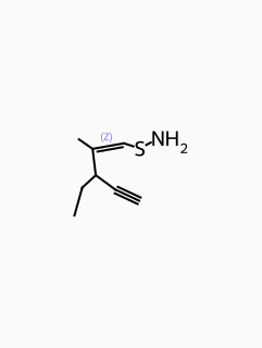 C#CC(CC)/C(C)=C\SN